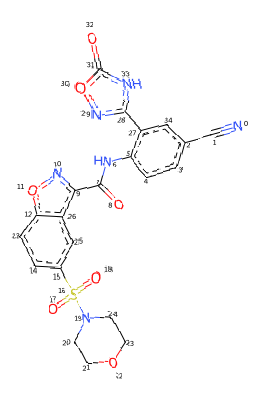 N#Cc1ccc(NC(=O)c2noc3ccc(S(=O)(=O)N4CCOCC4)cc23)c(-c2noc(=O)[nH]2)c1